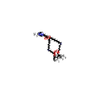 CCC(CC)COC(=O)CCCC/C=C\CCCCCCCCC(CCCCCCCC/C=C\CCCCC(=O)OCC(CC)CC)OC(=O)CCCN1CCN(C)CC1